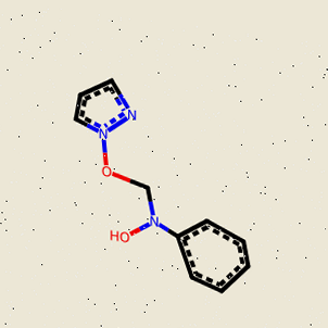 ON(COn1cccn1)c1ccccc1